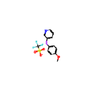 COc1ccc([I+]c2cccnc2)cc1.O=S(=O)([O-])C(F)(F)F